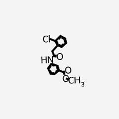 COC(=O)c1cccc(NC(=O)Cc2ccccc2Cl)c1